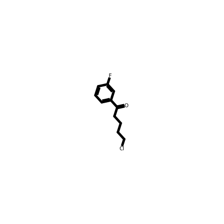 O=C(CCCCCl)c1cccc(F)c1